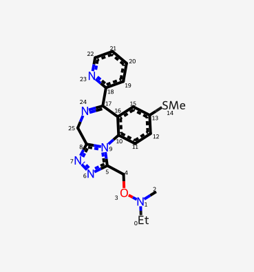 CCN(C)OCc1nnc2n1-c1ccc(SC)cc1C(c1ccccn1)=NC2